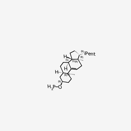 CCC[C@@H](C)[C@H]1CC[C@H]2[C@@H]3CC[C@@H]4C[C@H](OP)CC[C@]4(C)C3=CC[C@]12C